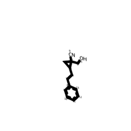 N#CC1(CO)CC1CCc1ccccc1